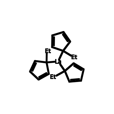 CC[C]1([La]([C]2(CC)C=CC=C2)[C]2(CC)C=CC=C2)C=CC=C1